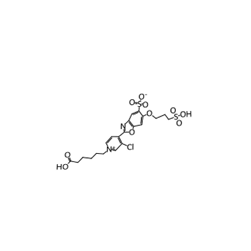 O=C(O)CCCCC[n+]1ccc(-c2nc3cc(S(=O)(=O)[O-])c(OCCCS(=O)(=O)O)cc3o2)c(Cl)c1